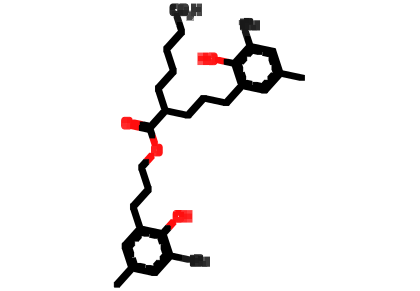 Cc1cc(CCCOC(=O)C(CCCCC(=O)O)CCCc2cc(C)cc(C(C)(C)C)c2O)c(O)c(C(C)(C)C)c1